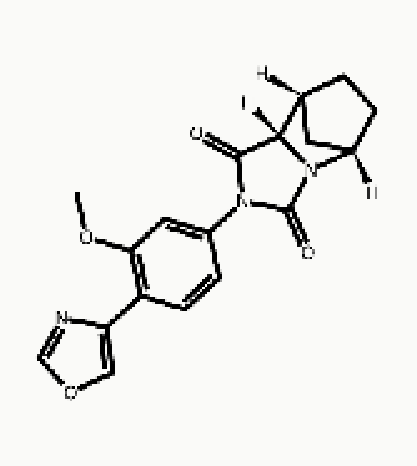 COc1cc(N2C(=O)[C@@H]3[C@@H]4CC[C@@H](C4)N3C2=O)ccc1-c1cocn1